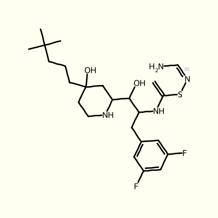 C=C(NC(Cc1cc(F)cc(F)c1)C(O)C1CC(O)(CCCC(C)(C)C)CCN1)S/N=C\N